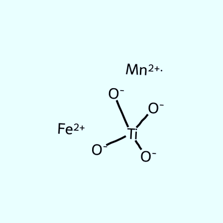 [Fe+2].[Mn+2].[O-][Ti]([O-])([O-])[O-]